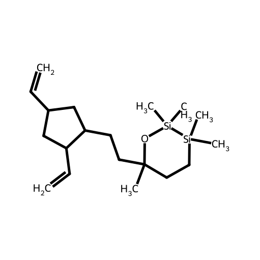 C=CC1CC(C=C)C(CCC2(C)CC[Si](C)(C)[Si](C)(C)O2)C1